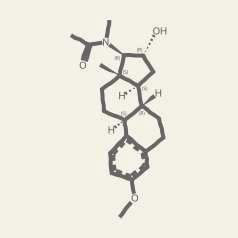 COc1ccc2c(c1)CC[C@@H]1[C@@H]2CC[C@]2(C)[C@@H](N(C)C(C)=O)[C@H](O)C[C@@H]12